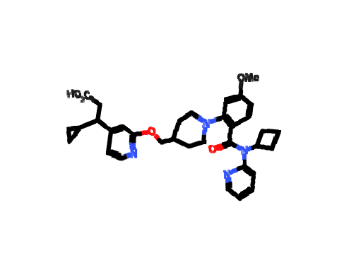 COc1ccc(C(=O)N(c2ccccn2)C2CCC2)c(N2CCC(COc3cc(C(CC(=O)O)C4CC4)ccn3)CC2)c1